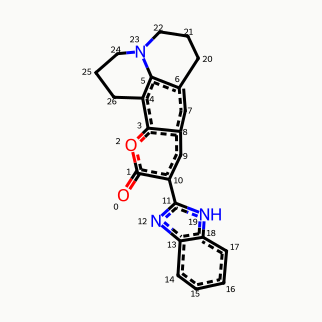 O=c1oc2c3c4c(cc2cc1-c1nc2ccccc2[nH]1)CCCN4CCC3